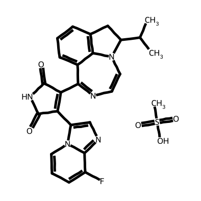 CC(C)C1Cc2cccc3c2N1C=CN=C3C1=C(c2cnc3c(F)cccn23)C(=O)NC1=O.CS(=O)(=O)O